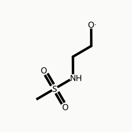 CS(=O)(=O)NCC[O]